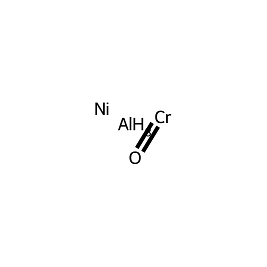 [AlH3].[Ni].[O]=[Cr]